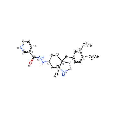 COc1ccc(C[C@@]23CCN[C@H]2CC(=NNC(=O)c2cccnc2)CC3)cc1OC